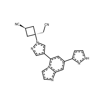 N#CC[C@]1(n2cc(-c3cc(-c4cc[nH]n4)cc4nccn34)cn2)C[C@@H](C#N)C1